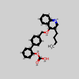 CCCCc1cnc2ccccc2c1OCc1ccc(-c2ccccc2OC(=O)O)cc1